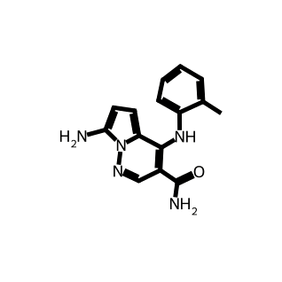 Cc1ccccc1Nc1c(C(N)=O)cnn2c(N)ccc12